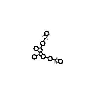 c1ccc(-n2c3ccc(-c4ccc(-c5nc6ccccc6s5)cc4)cc3c3cc(-c4ccc(-c5nc6ccccc6s5)cc4)c4ccccc4c32)cc1